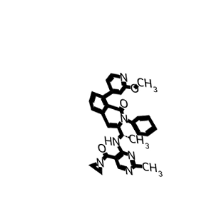 COc1cc(-c2cccc3cc([C@H](C)Nc4nc(C)ncc4C(=O)N4CC4)n(-c4ccccc4)c(=O)c23)ccn1